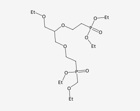 CCOCC(COCCP(=O)(COCC)OCC)OCCP(=O)(OCC)OCC